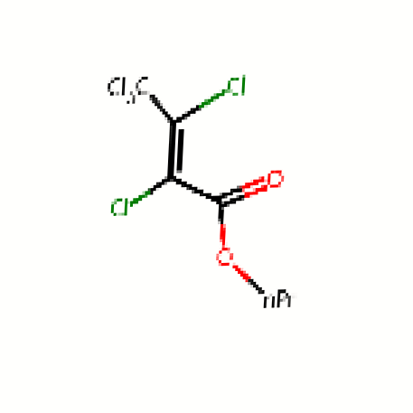 CCCOC(=O)C(Cl)=C(Cl)C(Cl)(Cl)Cl